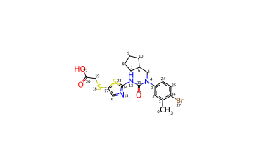 Cc1cc(N(CC2CCCC2)C(=O)Nc2ncc(SCC(=O)O)s2)ccc1Br